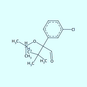 C[SiH](C)OC(C=O)(c1cccc(Cl)c1)C(C)(C)C